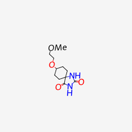 COCCOC1CCC2(CC1)NC(=O)NC2=O